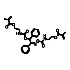 C=C(C)C(=O)OCCNC(=O)O/N=C(/c1ccccc1)C(OC(=O)NCCOC(=O)C(=C)C)c1ccccc1